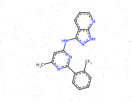 Cc1cc(Nc2n[nH]c3ncccc23)nc(-c2ccccc2C(F)(F)F)n1